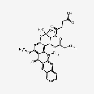 CCC(=O)O[C@H]1c2c(cc(OC)c3c(=O)c4cc5ccccc5cc4n(C)c23)OC(C)(C)[C@H]1OC(=O)CCC(=O)O